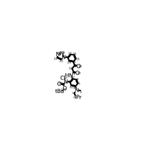 CC(C)CN(C)c1ccc(NC(=O)CC(=O)c2cccc(-n3ccnn3)c2)c(N(Cl)C(=O)OC(C)(C)C)c1